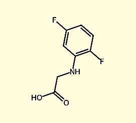 O=C(O)CNc1cc(F)ccc1F